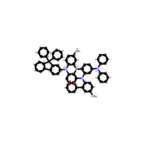 Cc1cc2c3c(c1)N(c1ccc(C(C)(C)C)cc1-c1ccccc1)c1cc(N(c4ccccc4)c4ccccc4)ccc1B3c1cc(C(C)(C)C)ccc1N2c1ccc2c(c1)C(c1ccccc1)(c1ccccc1)c1ccccc1-2